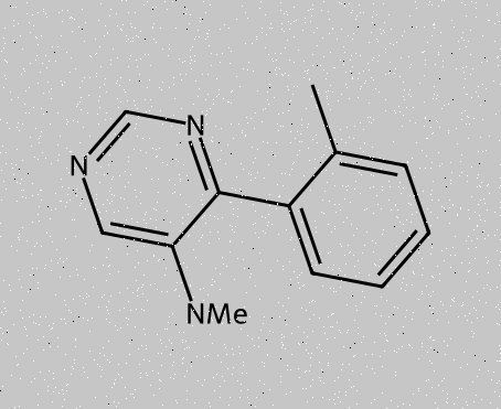 CNc1cncnc1-c1ccccc1C